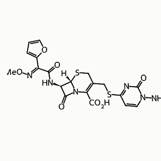 CON=C(C(=O)N[C@@H]1C(=O)N2C(C(=O)O)=C(CSc3ccn(N)c(=O)n3)CS[C@@H]12)c1ccco1